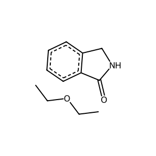 CCOCC.O=C1NCc2ccccc21